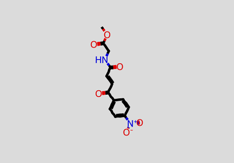 COC(=O)CNC(=O)/C=C/C(=O)c1ccc([N+](=O)[O-])cc1